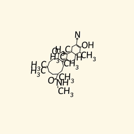 CCNC(=O)[C@@]1(C)CCC(C)(C)CCC2C(=O)C=C3[C@@]4(C)CC(C#N)=C(O)[C@@H](C)[C@@H]4CC[C@@]3(C)[C@]2(C)CC1